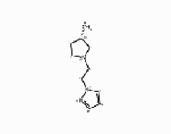 C[C@H]1CCN(CCn2cccn2)C1